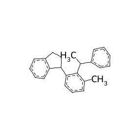 Cc1cccc(C2CCc3ccccc32)c1C(C)c1ccccc1